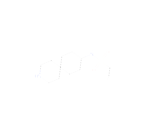 CCS(=O)(=O)NC1CCC2(CCNCC2)CC1